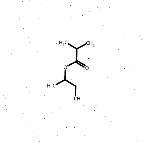 [CH2]C(C)C(=O)OC(C)CC